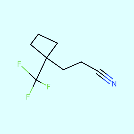 N#CCCC1(C(F)(F)F)CCC1